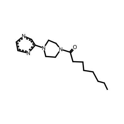 CCCCCCCC(=O)N1CCN(c2cnccn2)CC1